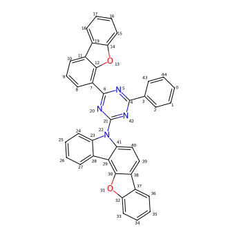 c1ccc(-c2nc(-c3cccc4c3oc3ccccc34)nc(-n3c4ccccc4c4c5oc6ccccc6c5ccc43)n2)cc1